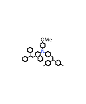 COc1ccc(N(c2ccc(C=C(c3ccc(C)cc3)c3ccc(C)cc3)cc2)c2ccc(C=C(c3ccccc3)c3ccccc3)c3ccccc23)cc1